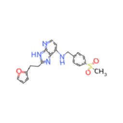 CS(=O)(=O)c1ccc(CNc2ccnc3[nH]c(CCc4ccco4)nc23)cc1